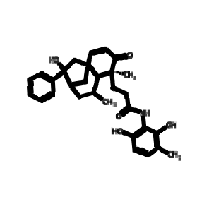 Cc1ccc(O)c(NC(=O)CC[C@]2(C)C(=O)C=CC34CC(CC(C)C32)C(O)(c2ccccc2)C4)c1O